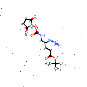 CC(C)(C)OC(=O)CC[C@@H](CNC(=O)ON1C(=O)CCC1=O)N=[N+]=[N-]